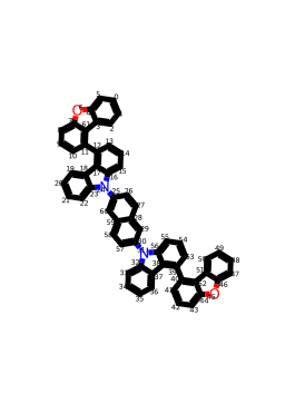 c1ccc2c(c1)oc1cccc(-c3cccc4c3c3ccccc3n4-c3ccc4cc(-n5c6ccccc6c6c(-c7cccc8oc9ccccc9c78)cccc65)ccc4c3)c12